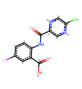 O=C(Nc1ccc(I)cc1C(=O)O)c1cnc(Cl)cn1